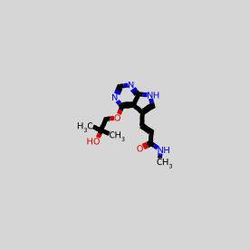 CNC(=O)C=Cc1c[nH]c2ncnc(OCC(C)(C)O)c12